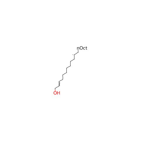 CCCCCCCCC[CH]CCCCCCCC=CCO